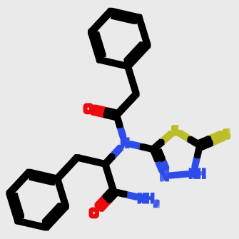 NC(=O)C(Cc1ccccc1)N(C(=O)Cc1ccccc1)c1n[nH]c(=S)s1